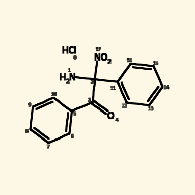 Cl.NC(C(=O)c1ccccc1)(c1ccccc1)[N+](=O)[O-]